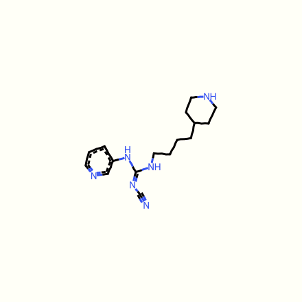 N#C/N=C(\NCCCCC1CCNCC1)Nc1cccnc1